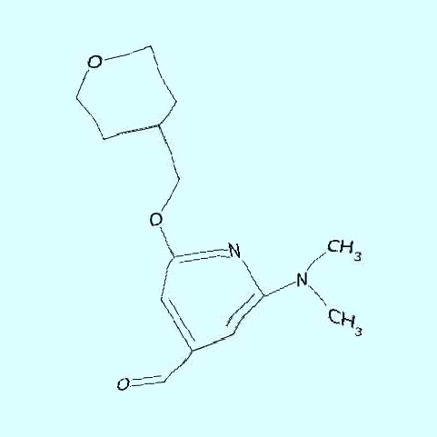 CN(C)c1cc(C=O)cc(OCC2CCOCC2)n1